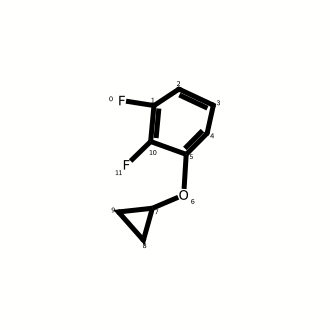 Fc1cccc(OC2CC2)c1F